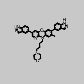 Cc1cc2c(cc1-c1ccc3[nH]ncc3c1)Oc1cc(-c3ccc4[nH]ncc4c3)cnc1N2CCCCN1CCOCC1